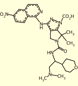 CN(C)CC(NC(=O)N1Cc2c(Nc3nccc4cc([N+](=O)[O-])ccc34)nn(C(=O)O)c2C1(C)C)C1CCOCC1